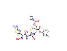 CC(=O)OC(C)OC(=O)C1(COC(=O)N2CCC2)CS[C@@H]2C(NC(=O)C(=NO)c3csc(N)n3)C(=O)N2C1